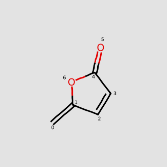 C=C1C=CC(=O)O1